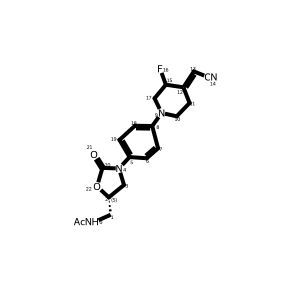 CC(=O)NC[C@H]1CN(c2ccc(N3CCC(=CC#N)C(F)C3)cc2)C(=O)O1